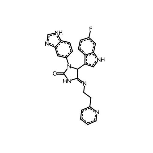 O=C1NC(=NCCc2ccccn2)C(c2c[nH]c3cc(F)ccc23)N1c1ccc2[nH]cnc2c1